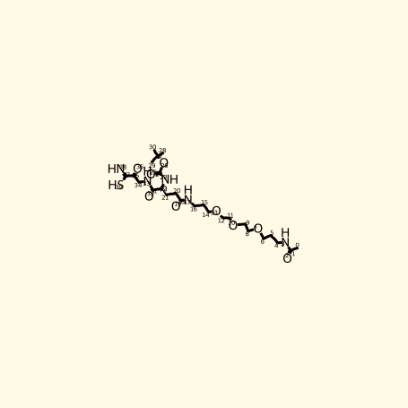 CC(=O)NCCCOCCOCCOCCCNC(=O)CC[C@H](NC(=O)OC(C)(C)C)C(=O)NCC(=O)C(=N)S